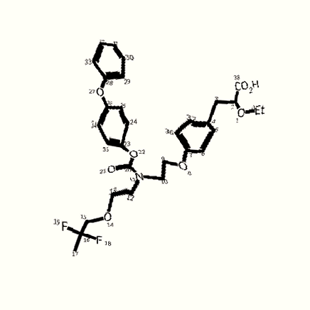 CCOC(Cc1ccc(OCCN(CCOCC(C)(F)F)C(=O)Oc2ccc(Oc3ccccc3)cc2)cc1)C(=O)O